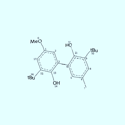 COc1cc(-c2cc(C)cc(C(C)(C)C)c2O)c(O)c(C(C)(C)C)c1